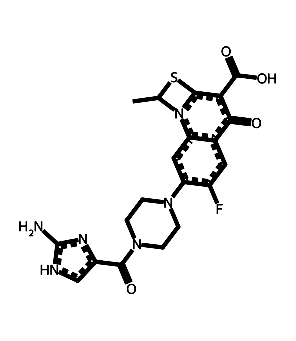 CC1Sc2c(C(=O)O)c(=O)c3cc(F)c(N4CCN(C(=O)c5c[nH]c(N)n5)CC4)cc3n21